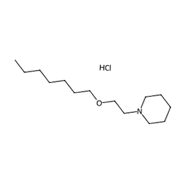 CCCCCCCOCCN1CCCCC1.Cl